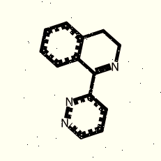 c1cnnc(C2=NCCc3ccccc32)c1